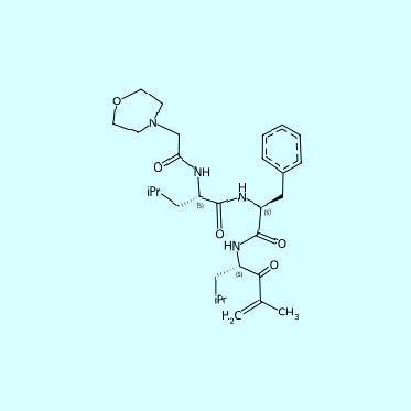 C=C(C)C(=O)[C@H](CC(C)C)NC(=O)[C@H](Cc1ccccc1)NC(=O)[C@H](CC(C)C)NC(=O)CN1CCOCC1